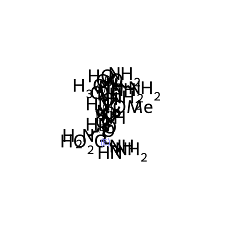 COc1ccc(CC(NC(=O)[C@@H]2CCCN2C(=O)[C@@H](CCCN)NC(=O)CNC(=O)[C@H](C)NC(=O)[C@@H](NC(=O)[C@@H](N)CCCCN)[C@@H](O)CN)C(=O)N[C@@H](CCCCN)C(=O)CC/C(=C\CCNC(=N)N)C(=O)O)cc1